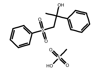 CC(O)(CS(=O)(=O)c1ccccc1)c1ccccc1.CS(=O)(=O)O